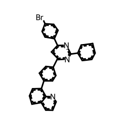 Brc1ccc(-c2cc(-c3ccc(-c4cccc5cccnc45)cc3)nc(-c3ccccc3)n2)cc1